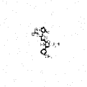 Cc1cccc(C(CC(=O)O)NC(=O)c2cc(OCC(=O)C(C)(C)C)n(-c3ccccc3F)n2)c1